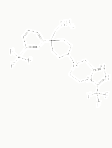 NCC1(c2cccc(C(F)(F)F)c2)CCC(N2CCn3c(nnc3C(F)(F)F)C2)CC1